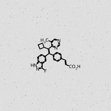 Cc1cncnc1/C(=C(\c1ccc(/C=C/C(=O)O)cc1)c1ccc2[nH]nc(F)c2c1)C1CCC1